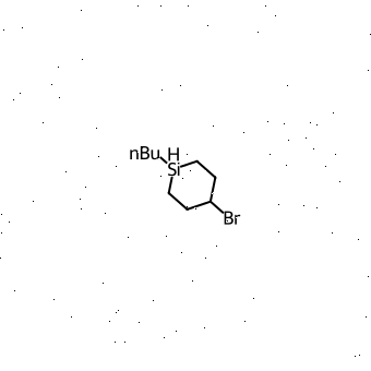 CCCC[SiH]1CCC(Br)CC1